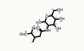 CC(CC(=O)NC1C(O)OC(CO)C(O)C1O)C(N)C=O